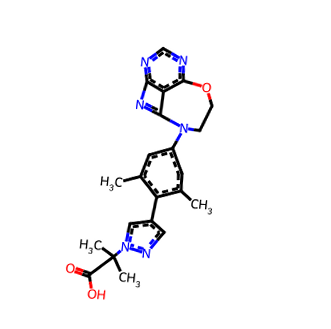 Cc1cc(N2CCOc3ncnc4c3C2=N4)cc(C)c1-c1cnn(C(C)(C)C(=O)O)c1